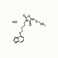 CCS/C=C1/SC(=O)N(CCCCSc2cccc3nccn23)C1=O.Cl